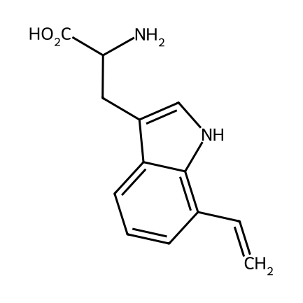 C=Cc1cccc2c(CC(N)C(=O)O)c[nH]c12